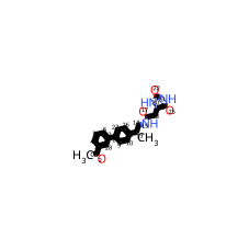 CC(=O)c1cccc(-c2ccc(C(C)CNC(=O)CC3NC(=O)NC3=O)cc2)c1